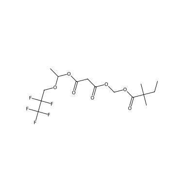 CCC(C)(C)C(=O)OCOC(=O)CC(=O)OC(C)OCC(F)(F)C(F)(F)F